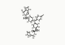 C=c1ccc(=C(c2ccc(NC(=O)CC(C)=C3C=CC=C3)cc2)c2ccc(NC(=O)CC(C)=C3C=CC=C3)cc2)cc1